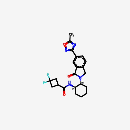 O=C(N[C@@H]1CCCC[C@H]1N1Cc2ccc(-c3noc(C(F)(F)F)n3)cc2C1=O)C1CC(F)(F)C1